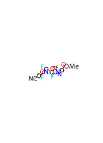 COC(=O)c1ccc2nc(Cc3ccc(-c4ccc(F)c(OCc5ccc(C#N)cc5F)n4)cc3F)n([C@@H]3COCC3(C)C)c2c1